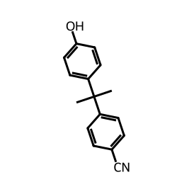 CC(C)(c1ccc(O)cc1)c1ccc(C#N)cc1